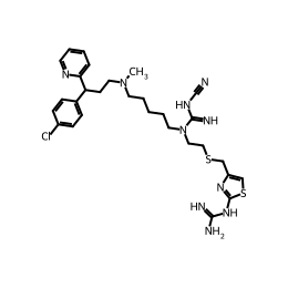 CN(CCCCCN(CCSCc1csc(NC(=N)N)n1)C(=N)NC#N)CCC(c1ccc(Cl)cc1)c1ccccn1